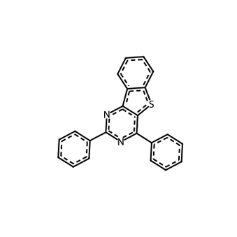 c1ccc(-c2nc(-c3ccccc3)c3sc4ccccc4c3n2)cc1